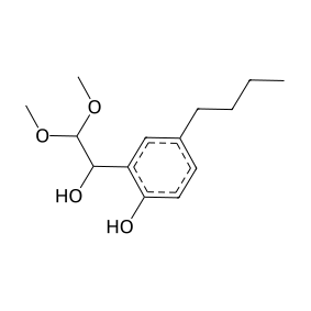 CCCCc1ccc(O)c(C(O)C(OC)OC)c1